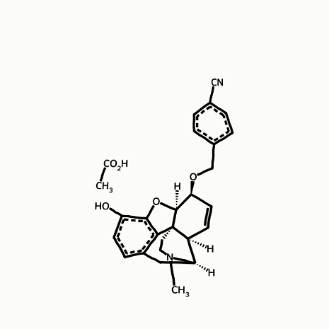 CC(=O)O.CN1CC[C@]23c4c5ccc(O)c4O[C@H]2[C@@H](OCc2ccc(C#N)cc2)C=C[C@H]3[C@H]1C5